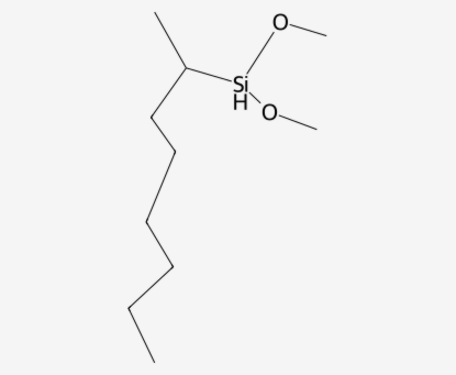 CCCCCCC(C)[SiH](OC)OC